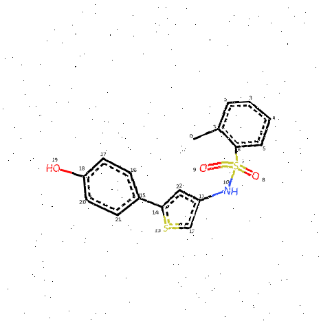 Cc1ccccc1S(=O)(=O)Nc1csc(-c2ccc(O)cc2)c1